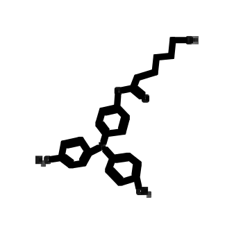 Cc1ccc(N(c2ccc(C)cc2)c2ccc(OC(=O)CCCCCO)cc2)cc1